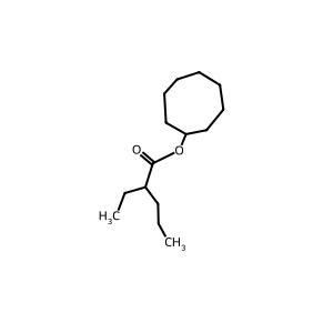 CCCC(CC)C(=O)OC1CCCCCCC1